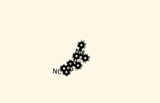 N#Cc1ccc2c3c(cccc13)Oc1c-2ccc2c1c1ccccc1n2-c1ccc2nc(-c3ccccc3)nc(-c3ccccc3)c2c1